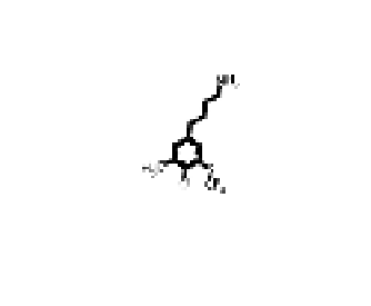 Cc1cc(CCCCN)cc(SC(F)(F)F)c1Cl